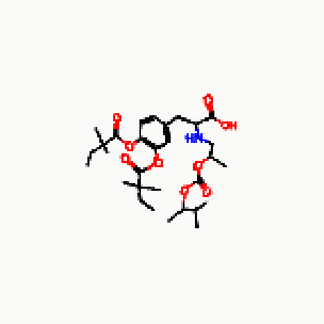 CCC(C)(C)C(=O)Oc1ccc(C[C@H](NCC(C)OC(=O)OC(C)C(C)C)C(=O)O)cc1OC(=O)C(C)(C)CC